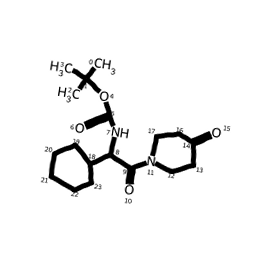 CC(C)(C)OC(=O)NC(C(=O)N1CCC(=O)CC1)C1CCCCC1